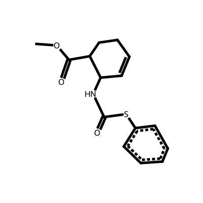 COC(=O)C1CCC=CC1NC(=O)Sc1ccccc1